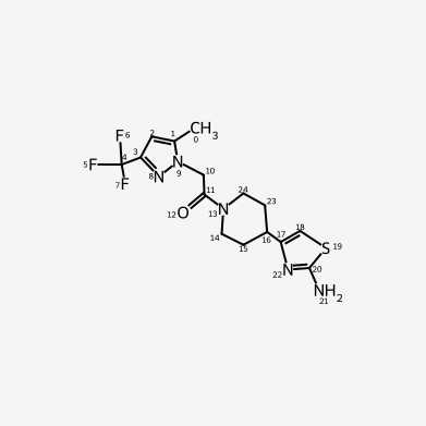 Cc1cc(C(F)(F)F)nn1CC(=O)N1CCC(c2csc(N)n2)CC1